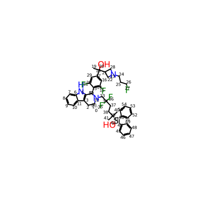 C[C@@H]1Cc2c([nH]c3ccccc23)[C@@H](c2c(F)cc(C(C)(O)C3CN(CCCF)C3)cc2F)N1CC(F)(F)CCC(C)(C)[Si](O)(c1ccccc1)c1ccccc1